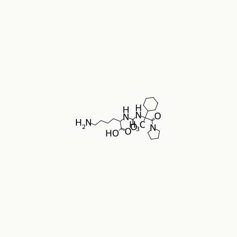 CC(NC(=O)NC(CCCCN)C(=O)O)(C(=O)N1CCCC1)C1CCCCC1